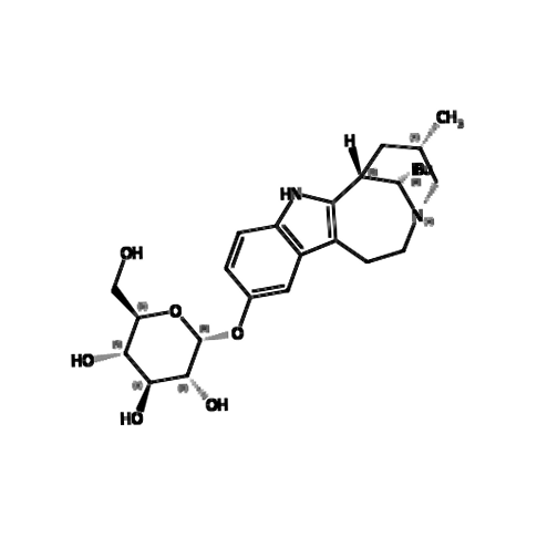 CC[C@@H](C)C1[C@H]2C[C@H](C)C[N@]1CCc1c2[nH]c2ccc(O[C@H]3O[C@H](CO)[C@@H](O)[C@H](O)[C@H]3O)cc12